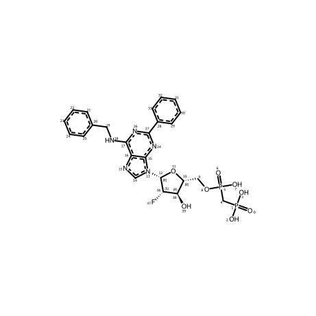 O=P(O)(O)CP(=O)(O)OC[C@H]1O[C@@H](n2cnc3c(NCc4ccccc4)nc(-c4ccccc4)nc32)[C@@H](F)[C@@H]1O